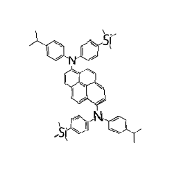 CC(C)c1ccc(N(c2ccc([Si](C)(C)C)cc2)c2ccc3ccc4c(N(c5ccc(C(C)C)cc5)c5ccc([Si](C)(C)C)cc5)ccc5ccc2c3c54)cc1